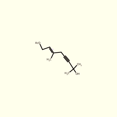 CC(=O)OC/C=C(\C)CC#CC(C)(C)O